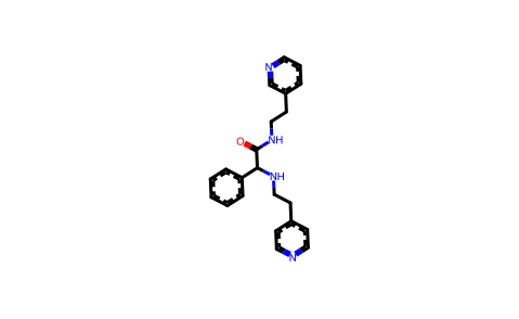 O=C(NCCc1cccnc1)C(NCCc1ccncc1)c1ccccc1